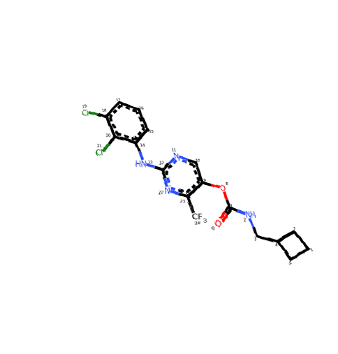 O=C(NCC1CCC1)Oc1cnc(Nc2cccc(Cl)c2Cl)nc1C(F)(F)F